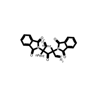 C=CC(CCCCC)(C(=O)C(C=C)(CCCCC)N1C(=O)c2ccccc2C1=O)N1C(=O)c2ccccc2C1=O